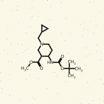 COC(=O)C1CN(CC2CC2)CCC1NC(=O)OC(C)(C)C